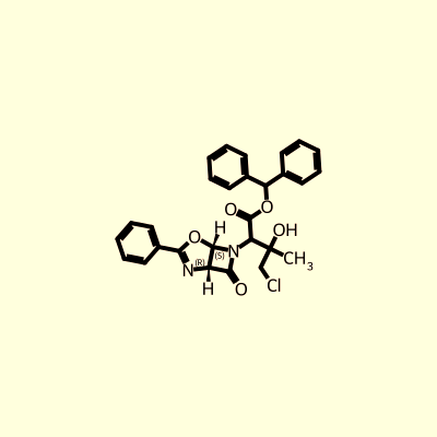 CC(O)(CCl)C(C(=O)OC(c1ccccc1)c1ccccc1)N1C(=O)[C@@H]2N=C(c3ccccc3)O[C@@H]21